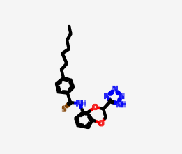 CCCCCCCc1ccc(C(=S)Nc2cccc3c2OC(c2nnn[nH]2)CO3)cc1